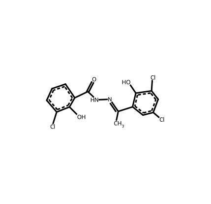 C/C(=N\NC(=O)c1cccc(Cl)c1O)c1cc(Cl)cc(Cl)c1O